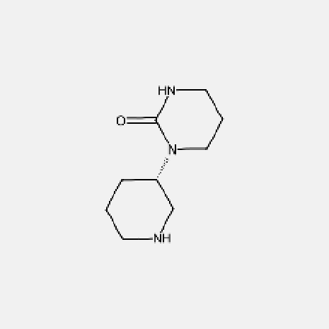 O=C1NCCCN1[C@H]1CCCNC1